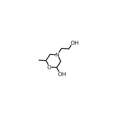 CC1CN(CCO)CC(O)O1